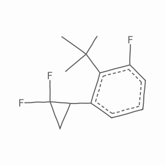 CC(C)(C)c1c(F)cccc1C1CC1(F)F